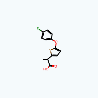 CC(C(=O)O)c1ccc(Oc2ccc(F)cc2)s1